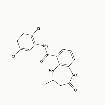 CC1CC(=O)Nc2cccc(C(=O)NC3=C(Cl)CCC(Cl)=C3)c2N1